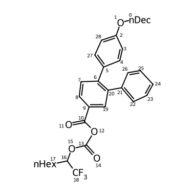 CCCCCCCCCCOc1ccc(-c2ccc(C(=O)OC(=O)OC(CCCCCC)C(F)(F)F)cc2-c2ccccc2)cc1